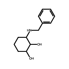 OC1CCCC(NCc2ccccc2)C1O